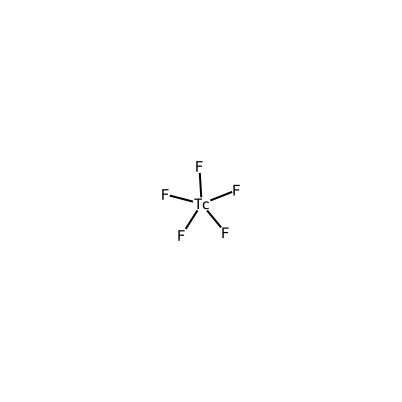 [F][Tc]([F])([F])([F])[F]